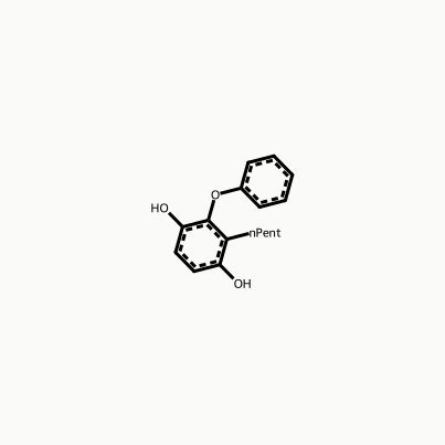 CCCCCc1c(O)ccc(O)c1Oc1ccccc1